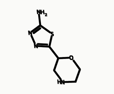 Nc1nnc(C2CNCCO2)s1